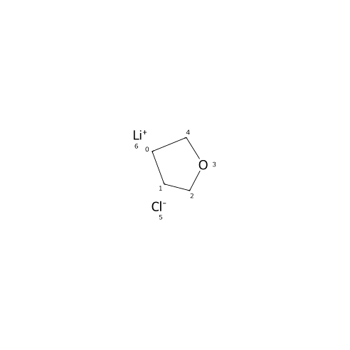 C1CCOC1.[Cl-].[Li+]